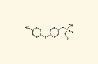 CCOP(=O)(O)Cc1ccc(Sc2ccc(O)cc2)cc1